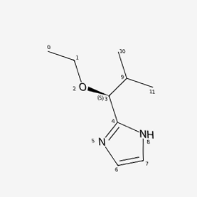 CCO[C@H](c1ncc[nH]1)C(C)C